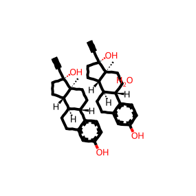 C#C[C@]1(O)CC[C@H]2[C@@H]3CCc4cc(O)ccc4[C@H]3CC[C@@]21C.C#C[C@]1(O)CC[C@H]2[C@@H]3CCc4cc(O)ccc4[C@H]3CC[C@@]21C.O